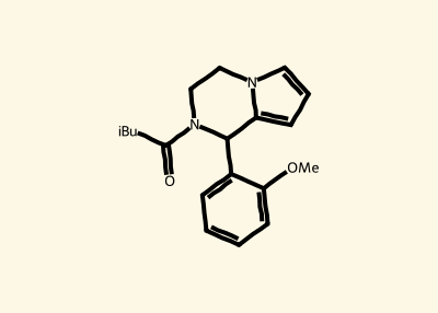 CCC(C)C(=O)N1CCn2cccc2C1c1ccccc1OC